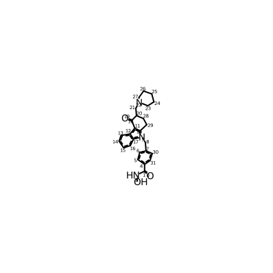 O=C(NO)c1ccc(Cn2c3c(c4ccccc42)C(=O)C(CN2CCCCC2)CC3)cc1